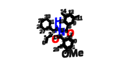 C=CC[C@@H](NN(C(=O)c1cc(C)cc(C)c1)C(=O)c1cccc(OC)c1C)C1CCCCC1